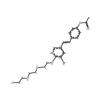 CC(=O)Oc1ccc(/C=C/c2cnc(OCCOCCOCCF)c(Br)c2)cc1